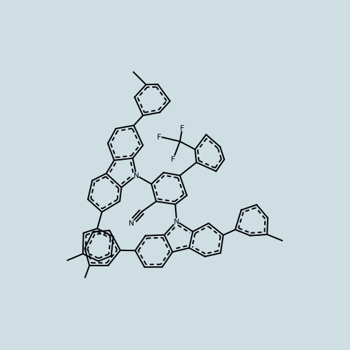 Cc1cccc(-c2ccc3c4ccc(-c5cccc(C)c5)cc4n(-c4cc(-c5ccccc5C(F)(F)F)cc(-n5c6cc(-c7cccc(C)c7)ccc6c6ccc(-c7cccc(C)c7)cc65)c4C#N)c3c2)c1